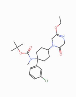 CCOC1=NCC(=O)N(C2CCC(c3cccc(Cl)c3)(N(C)C(=O)OC(C)(C)C)CC2)C1